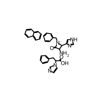 NC1C(=O)N(Cc2ccccc2)C1c1c[nH]cn1.O=C(O)C(Cc1ccccc1)n1ccnc1.c1ccc2ccccc2c1